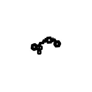 O=C1OC(CCCN2CCN(Cc3ccccc3)CC2)c2ccccc21